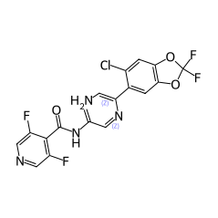 C=C(/C=N\C(=C/N)c1cc2c(cc1Cl)OC(F)(F)O2)NC(=O)c1c(F)cncc1F